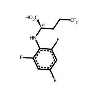 O=C(O)[C@@H](CCC(F)(F)F)Nc1c(F)cc(F)cc1F